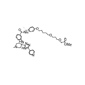 COC(=O)COCCCOCCCCCOc1ccc([C@@H](C)NC(=O)c2cccc(NC3(c4nnc(-c5ccncc5)[nH]4)CCN(C)CC3)c2)cc1